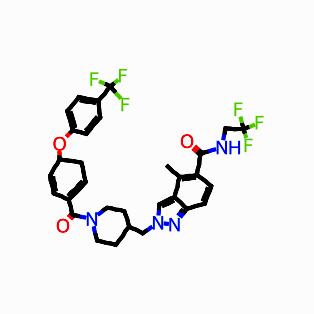 Cc1c(C(=O)NCC(F)(F)F)ccc2nn(CC3CCN(C(=O)C4=CCC(Oc5ccc(C(F)(F)F)cc5)C=C4)CC3)cc12